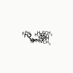 Cc1nc(NCc2cnn(Cc3ccnc(C(F)(F)F)c3)c2)nc2c1NC(=O)[C@H](C(C)C)N2C